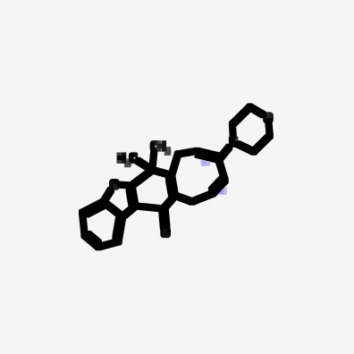 CC1(C)C2=C(C/C=C\C(N3CCOCC3)=C/C2)C(=O)c2c1oc1ccccc21